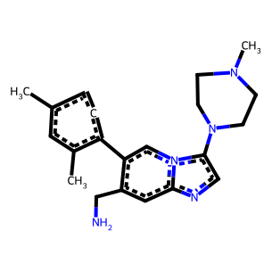 Cc1ccc(-c2cn3c(N4CCN(C)CC4)cnc3cc2CN)c(C)c1